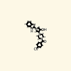 O=C(c1ccc(Cl)cc1)N1CCN(c2cn(-c3nc4ccccc4[nH]3)cc2O)CC1